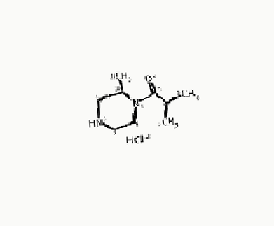 CC(C)C(=O)N1CCNCC1C.Cl